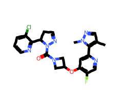 Cc1cnn(C)c1-c1cc(OC2CN(C(=O)N3N=CCC3c3ncccc3Cl)C2)c(F)cn1